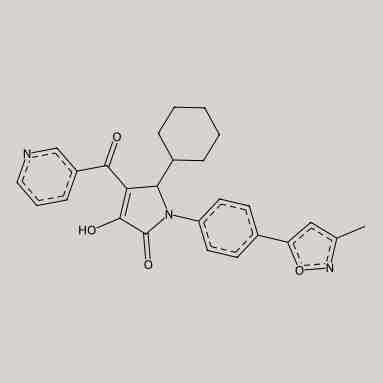 Cc1cc(-c2ccc(N3C(=O)C(O)=C(C(=O)c4cccnc4)C3C3CCCCC3)cc2)on1